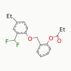 CCC(=O)Oc1ccccc1COc1ccc(CC)cc1C(F)F